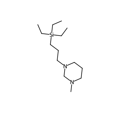 CC[Si](CC)(CC)CCCN1CCCN(C)C1